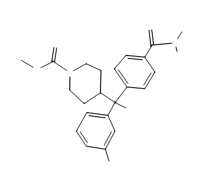 CCN(CC)C(=O)c1ccc(C(O)(c2cccc(F)c2)C2CCN(C(=O)OC(C)(C)C)CC2)cc1